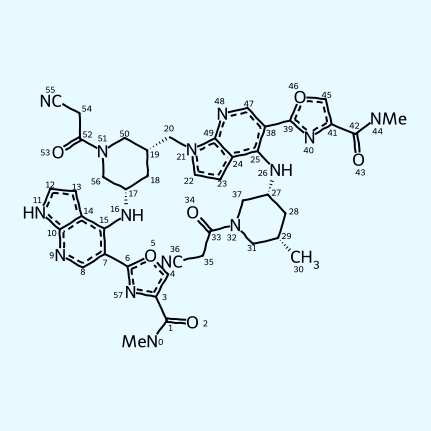 CNC(=O)c1coc(-c2cnc3[nH]ccc3c2N[C@H]2C[C@@H](Cn3ccc4c(N[C@@H]5C[C@H](C)CN(C(=O)CC#N)C5)c(-c5nc(C(=O)NC)co5)cnc43)CN(C(=O)CC#N)C2)n1